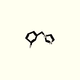 Fc1cccc(Cn2ccnc2)c1